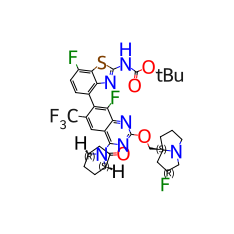 CC(C)(C)OC(=O)Nc1nc2c(-c3c(C(F)(F)F)cc4c(N5[C@@H]6CC[C@H]5C(=O)C6)nc(OC[C@@]56CCCN5C[C@H](F)C6)nc4c3F)ccc(F)c2s1